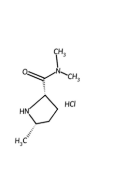 C[C@H]1CC[C@@H](C(=O)N(C)C)N1.Cl